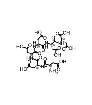 N[C@@H](CC(=O)O)C(=O)N[C@@H](CC(=O)O)C(=O)N[C@@H](CC(=O)O)C(=O)N[C@@H](CC(=O)O)C(=O)N[C@@H](CC(=O)O)C(=O)N[C@@H](CC(=O)O)C(=O)O